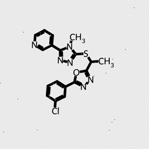 CC(Sc1nnc(-c2cccnc2)n1C)c1nnc(-c2cccc(Cl)c2)o1